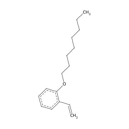 C=Cc1ccccc1OCCCCCCCC